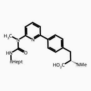 CCCCCCCNC(=O)N(C)c1cccc(-c2ccc(C[C@H](NC)C(=O)O)cc2)n1